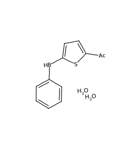 CC(=O)c1ccc(Bc2ccccc2)s1.O.O